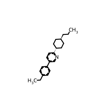 CCC[C@H]1CC[C@H](c2ccc(-c3ccc(CC)cc3)cn2)CC1